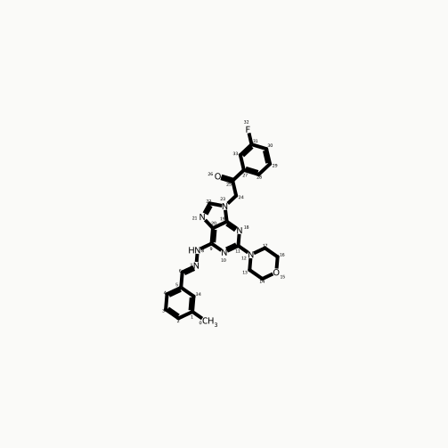 Cc1cccc(/C=N/Nc2nc(N3CCOCC3)nc3c2ncn3CC(=O)c2cccc(F)c2)c1